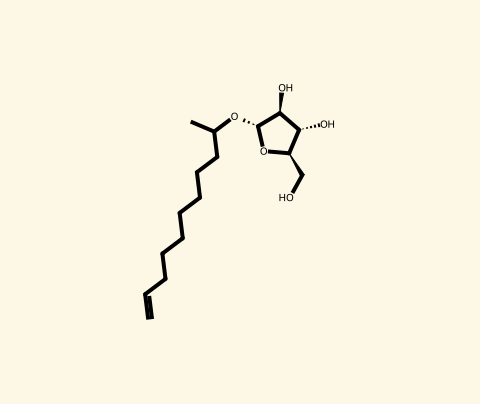 C=CCCCCCCCC(C)O[C@H]1O[C@H](CO)[C@@H](O)[C@@H]1O